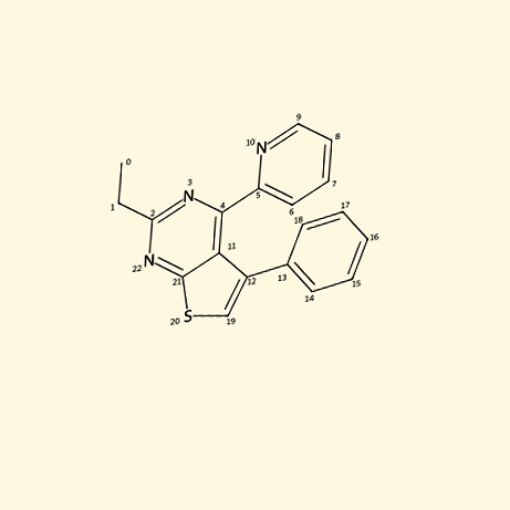 CCc1nc(-c2ccccn2)c2c(-c3ccccc3)csc2n1